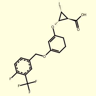 O=C(O)[C@@H]1[C@@H](I)[C@H]1OC1=CC(OCc2ccc(F)c(C(F)(F)F)c2)=CCC1